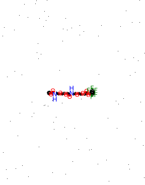 CC(C)(C)OC(=O)NCCOCCOCC(=O)NCCOCCOCC(=O)Oc1c(F)c(F)c(F)c(F)c1F